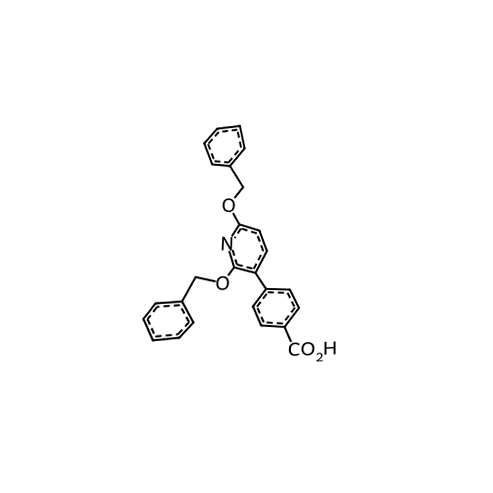 O=C(O)c1ccc(-c2ccc(OCc3ccccc3)nc2OCc2ccccc2)cc1